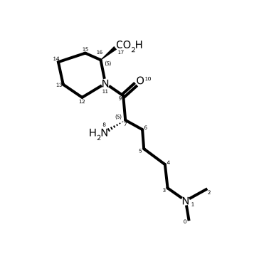 CN(C)CCCC[C@H](N)C(=O)N1CCCC[C@H]1C(=O)O